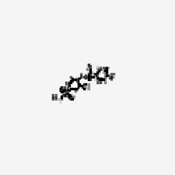 CS(=O)(=O)c1ccc(CNC(=O)c2ccc(F)nc2)c(Cl)c1